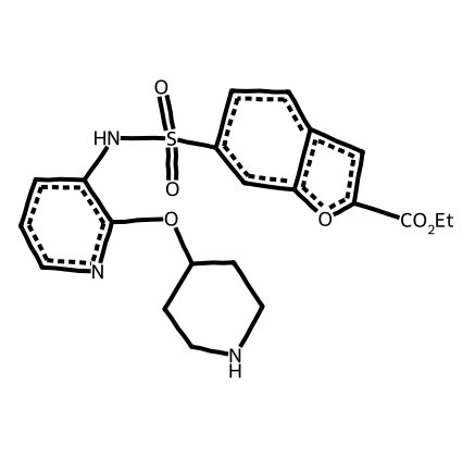 CCOC(=O)c1cc2ccc(S(=O)(=O)Nc3cccnc3OC3CCNCC3)cc2o1